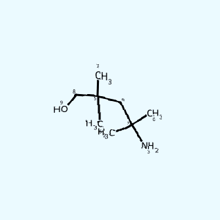 CC(C)(N)CC(C)(C)CO